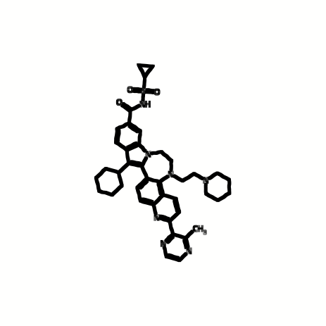 Cc1nccnc1-c1ccc2c3c(ccc2n1)-c1c(C2CCCCC2)c2ccc(C(=O)NS(=O)(=O)C4CC4)cc2n1CCN3CCN1CCCCC1